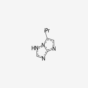 CC(C)c1cnc2nc[nH]n12